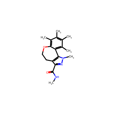 CNC(=O)c1nn(C)c2c1CCOc1c(C)c(C)c(C)c(C)c1-2